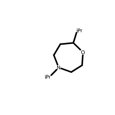 CC(C)C1CCN(C(C)C)CCO1